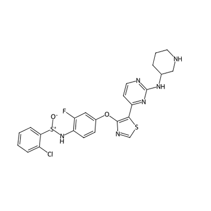 [O-][S+](Nc1ccc(Oc2ncsc2-c2ccnc(NC3CCCNC3)n2)cc1F)c1ccccc1Cl